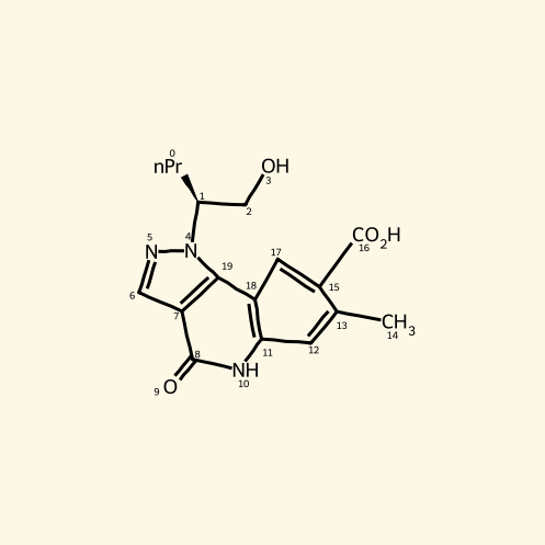 CCC[C@@H](CO)n1ncc2c(=O)[nH]c3cc(C)c(C(=O)O)cc3c21